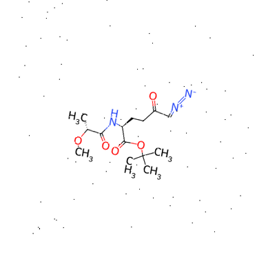 CO[C@H](C)C(=O)N[C@@H](CCC(=O)C=[N+]=[N-])C(=O)OC(C)(C)C